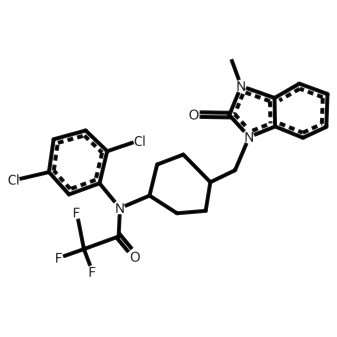 Cn1c(=O)n(CC2CCC(N(C(=O)C(F)(F)F)c3cc(Cl)ccc3Cl)CC2)c2ccccc21